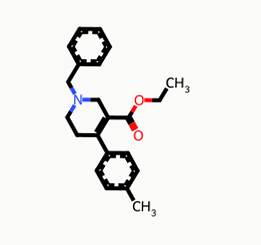 CCOC(=O)C1=C(c2ccc(C)cc2)CCN(Cc2ccccc2)C1